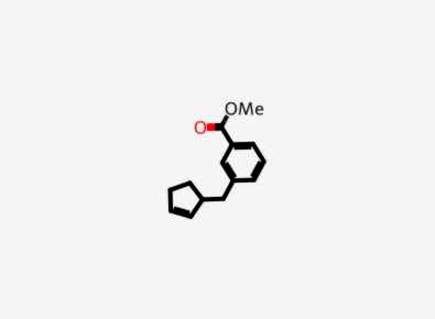 COC(=O)c1cccc(CC2C=CCC2)c1